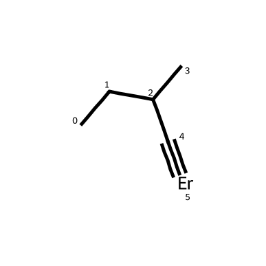 CCC(C)[C]#[Er]